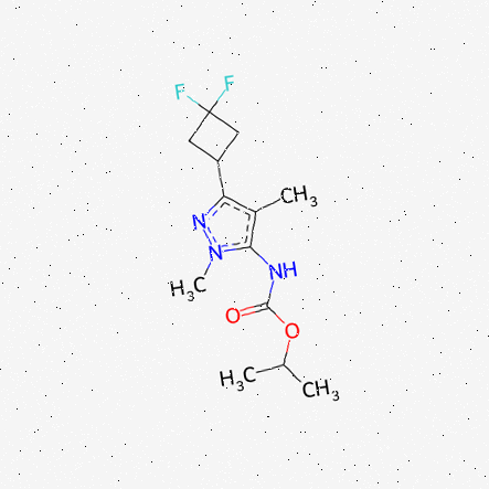 Cc1c(C2CC(F)(F)C2)nn(C)c1NC(=O)OC(C)C